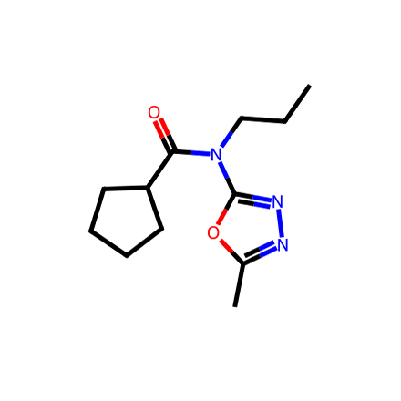 CCCN(C(=O)C1CCCC1)c1nnc(C)o1